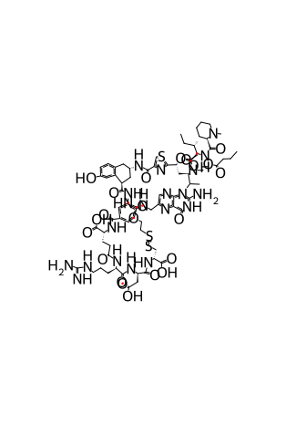 CCCC(=O)OCN(C(=O)C(NC(=O)[C@H]1CCCCN1C)[C@@H](C)CC)[C@H](C[C@@H](OC(C)=O)c1nc(C(=O)N[C@H]2Cc3ccc(O)cc3[C@H](C(=O)NNC(=O)OCCSSC[C@@H](NC(=O)[C@@H](CC(=O)O)NC(=O)[C@@H](CCCNC(=N)N)NC(=O)CC[C@@H](NC(=O)c3ccc(NCc4cnc5nc(N)[nH]c(=O)c5n4)cc3)C(=O)O)C(=O)O)C2)cs1)C(C)C